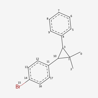 CC1(C)C(c2ccccc2)C1c1ccc(Br)cc1